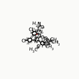 CCOc1cc(C)c(S(=O)(=O)NC(C)(C)C)cc1C1=N[C@@H](c2ccc(Cl)cc2)[C@@H](c2ccc(Cl)cc2)N1C(=O)N1CCN(CC(N)=O)CC1